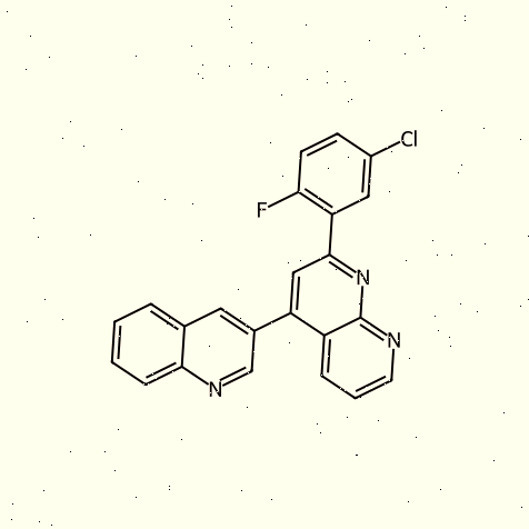 Fc1ccc(Cl)cc1-c1cc(-c2cnc3ccccc3c2)c2cccnc2n1